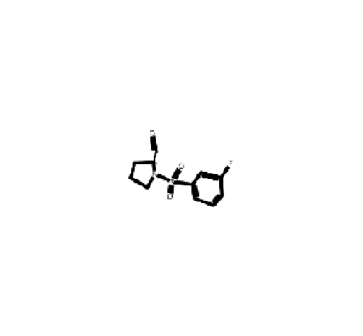 O=[C][C@@H]1CCCN1S(=O)(=O)c1cccc(F)c1